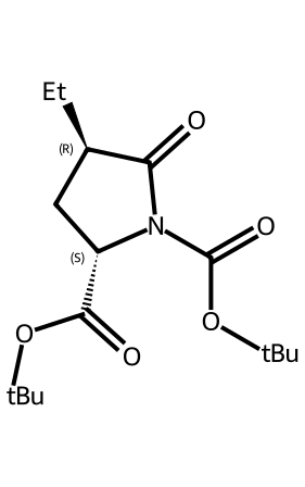 CC[C@@H]1C[C@@H](C(=O)OC(C)(C)C)N(C(=O)OC(C)(C)C)C1=O